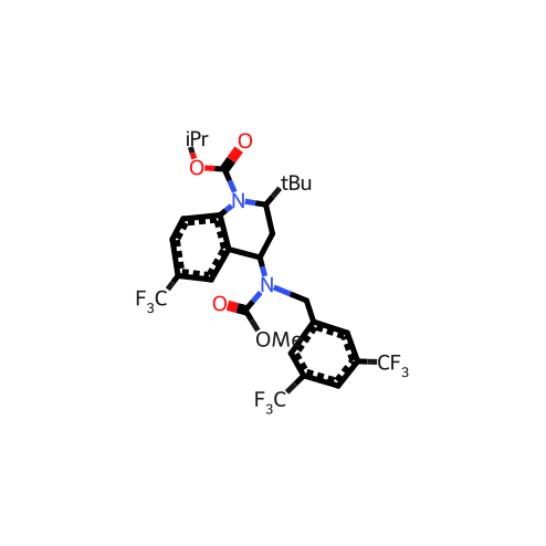 COC(=O)N(Cc1cc(C(F)(F)F)cc(C(F)(F)F)c1)C1CC(C(C)(C)C)N(C(=O)OC(C)C)c2ccc(C(F)(F)F)cc21